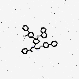 C=C(/C=C(\C=C/Nc1ccc(-c2ccccc2)cc1)c1ccc(Nc2cccc3ccccc23)c(-c2ccc(-c3ccccc3)c(O)c2)c1)c1ccccc1